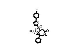 CN1CC2(c3ccccc3)CC2(C(=O)O)N(S(=O)(=O)c2ccc(-c3ccc(Cl)cc3)s2)CC1=O